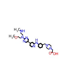 CNCCN(CCOC)c1ncc(-c2ccnc(Nc3cccc(CN4CCN(CC(=O)O)CC4)c3)c2)cn1